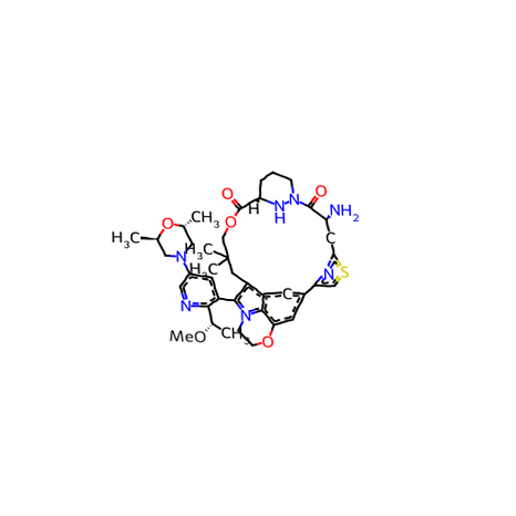 CO[C@@H](C)c1ncc(N2C[C@@H](C)O[C@H](C)C2)cc1-c1c2c3cc(cc4c3n1CCO4)-c1csc(n1)C[C@H](N)C(=O)N1CCC[C@H](N1)C(=O)OCC(C)(C)C2